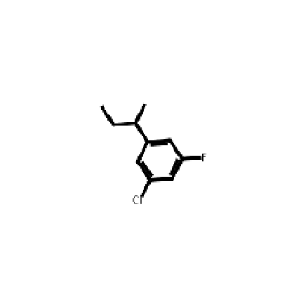 CCC(C)c1cc(F)cc(Cl)c1